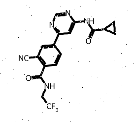 N#Cc1cc(-c2cc(NC(=O)C3CC3)ncn2)ccc1C(=O)NCC(F)(F)F